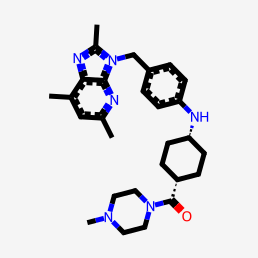 Cc1cc(C)c2nc(C)n(Cc3ccc(N[C@H]4CC[C@@H](C(=O)N5CCN(C)CC5)CC4)cc3)c2n1